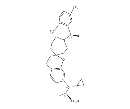 C[C@H](C(=O)O)[C@H](c1ccc2c(c1)OC1(CCCN([C@H](C)c3cc(C(F)(F)F)ccc3C(F)(F)F)CC1)CC2)C1CC1